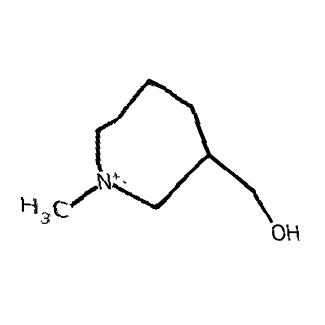 C[N+]1CCCC(CO)C1